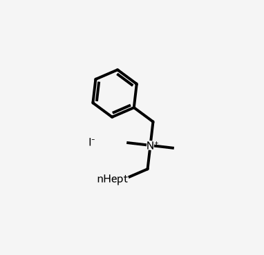 CCCCCCCC[N+](C)(C)Cc1ccccc1.[I-]